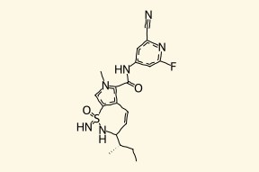 CC[C@H](C)C1C=Cc2c(cn(C)c2C(=O)Nc2cc(F)nc(C#N)c2)S(=N)(=O)N1